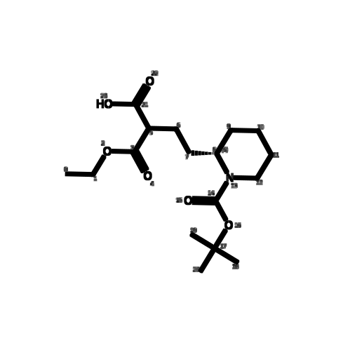 CCOC(=O)C(CC[C@@H]1CCCCN1C(=O)OC(C)(C)C)C(=O)O